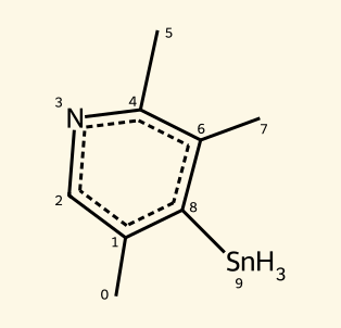 Cc1cnc(C)c(C)[c]1[SnH3]